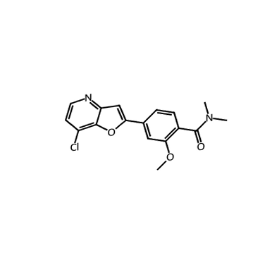 COc1cc(-c2cc3nccc(Cl)c3o2)ccc1C(=O)N(C)C